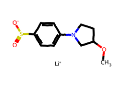 COC1CCN(c2ccc(S(=O)[O-])cc2)C1.[Li+]